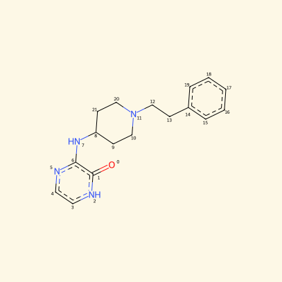 O=c1[nH]ccnc1NC1CCN(CCc2ccccc2)CC1